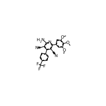 COc1cc(-c2nc(N)c(C#N)c(-c3ccc(C(F)(F)F)cc3)c2C#N)cc(OC)c1OC